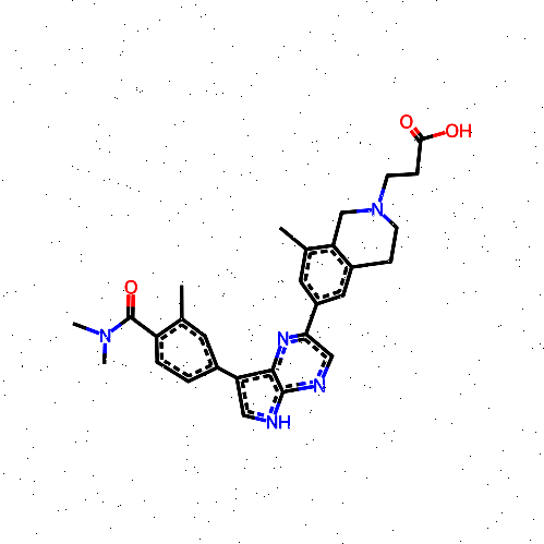 Cc1cc(-c2c[nH]c3ncc(-c4cc(C)c5c(c4)CCN(CCC(=O)O)C5)nc23)ccc1C(=O)N(C)C